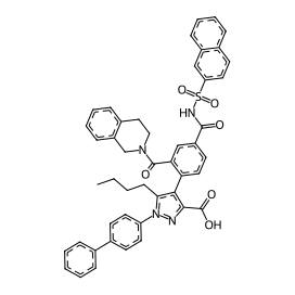 CCCCc1c(-c2ccc(C(=O)NS(=O)(=O)c3ccc4ccccc4c3)cc2C(=O)N2CCc3ccccc3C2)c(C(=O)O)nn1-c1ccc(-c2ccccc2)cc1